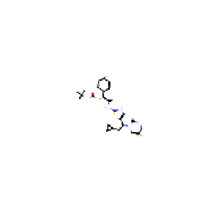 CC(C)(C)OC(=O)N[C@H](C(=C=O)Nc1ncc(C(CC2CC2)N2CC(F)(F)CNC2=C=O)s1)C1CCC(F)(F)CC1